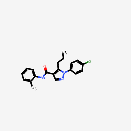 CCCc1c(C(=O)Nc2ccccc2C)cnn1-c1ccc(Cl)cc1